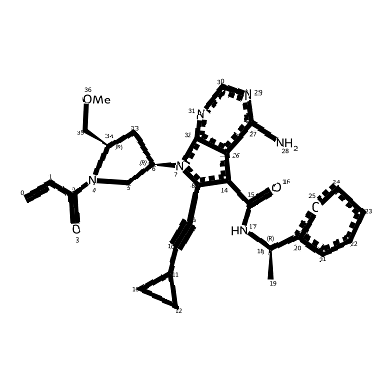 C=CC(=O)N1C[C@H](n2c(C#CC3CC3)c(C(=O)N[C@H](C)c3ccccc3)c3c(N)ncnc32)C[C@@H]1COC